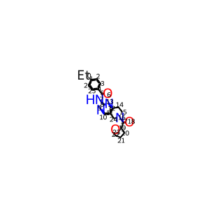 CCc1ccc(C(=O)Nc2ncc3c(n2)CCN(C(=O)C2CCCO2)C3)cc1